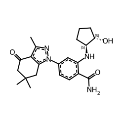 Cc1nn(-c2ccc(C(N)=O)c(N[C@H]3CCC[C@@H]3O)c2)c2c1C(=O)CC(C)(C)C2